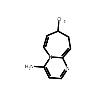 CC1C=CN2C(N)=CC=NC2=CC1